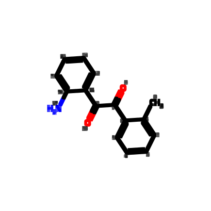 Cc1ccccc1C(=O)C(=O)c1ccccc1N